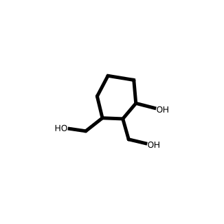 OCC1CCCC(O)C1CO